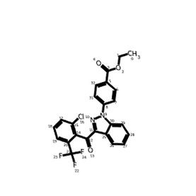 CCOC(=O)c1ccc(-n2nc(C(=O)c3c(Cl)cccc3C(F)(F)F)c3ccccc32)cc1